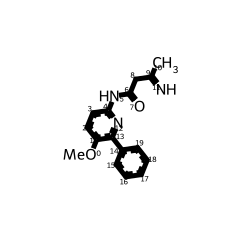 COc1ccc(NC(=O)CC(C)=N)nc1-c1ccccc1